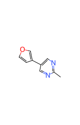 Cc1ncc(-c2ccoc2)cn1